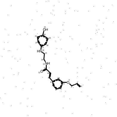 C=CCOc1cccc(/C=C/C(=O)NCCNc2ccc(O)cc2)c1